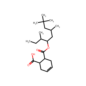 CCC(C)C(CC(C)CC(C)(C)C)OC(=O)C1CC=CCC1C(=O)O